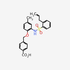 C=CCc1ccccc1S(=O)(=O)Nc1cc(C)ccc1OCc1ccc(C(=O)O)cc1